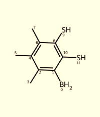 Bc1c(C)c(C)c(C)c(S)c1S